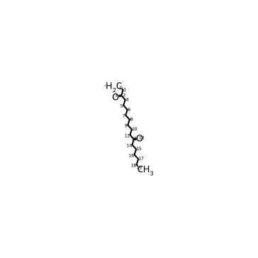 [CH2]CC(=O)CCCCCCCCC(=O)CCCCCC